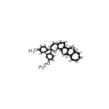 COc1ccc(C2(c3ccc(C)cc3)C=Cc3ccc4c(sc5c6ccccc6sc45)c3O2)cc1